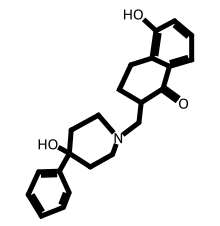 O=C1c2cccc(O)c2CCC1CN1CCC(O)(c2ccccc2)CC1